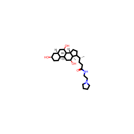 C[C@H](CCC(=O)NCCN1CCCC1)C1CC[C@H]2[C@@H]3[C@H](O)C[C@@H]4C[C@H](O)CC[C@]4(C)[C@H]3C[C@H](O)[C@]12C